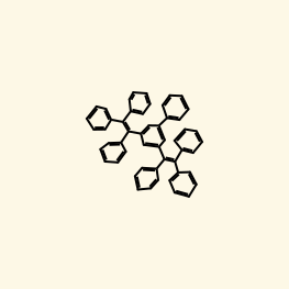 c1ccc(C(=C(c2ccccc2)c2cc(C(=C(c3ccccc3)c3ccccc3)c3ccccc3)cc(-c3ccccc3)c2)c2ccccc2)cc1